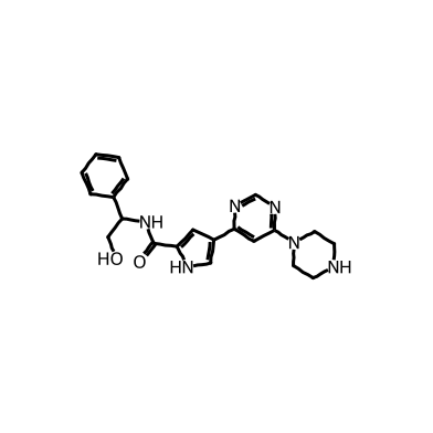 O=C(NC(CO)c1ccccc1)c1cc(-c2cc(N3CCNCC3)ncn2)c[nH]1